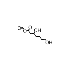 O=COC(=O)CC(O)CCCCO